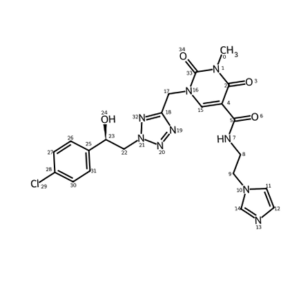 Cn1c(=O)c(C(=O)NCCn2ccnc2)cn(Cc2nnn(C[C@H](O)c3ccc(Cl)cc3)n2)c1=O